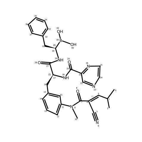 CC(C)/C=C(\C#N)C(=O)N(C)c1cccc(C[C@H](NC(=O)c2cnccn2)C(=O)N[C@@H](Cc2ccccc2)B(O)O)c1